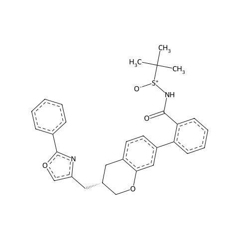 CC(C)(C)[S+]([O-])NC(=O)c1ccccc1-c1ccc2c(c1)OC[C@H](Cc1coc(-c3ccccc3)n1)C2